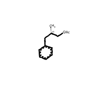 CC(=O)OC[C@@H](C)Cc1ccccc1